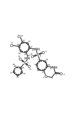 O=C1COc2ccc(S(=O)(=O)Nc3cc(Cl)c(Cl)cc3NS(=O)(=O)c3cccs3)cc2N1